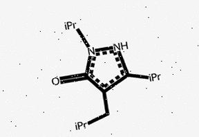 CC(C)Cc1c(C(C)C)[nH]n(C(C)C)c1=O